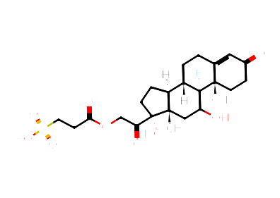 C[C@]12CCC(=O)C=C1CC[C@H]1[C@@H]3CC[C@](O)(C(=O)COC(=O)CCS(=O)(=O)O)[C@@]3(C)CC(O)[C@@]12F